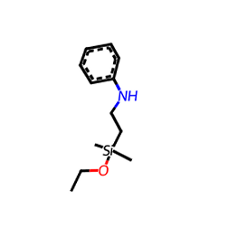 CCO[Si](C)(C)CCNc1ccccc1